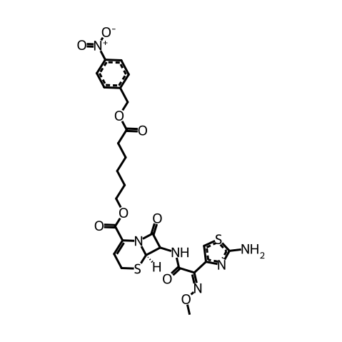 CO/N=C(\C(=O)NC1C(=O)N2C(C(=O)OCCCCCC(=O)OCc3ccc([N+](=O)[O-])cc3)=CCS[C@H]12)c1csc(N)n1